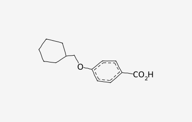 O=C(O)c1ccc(OCC2CCCCC2)cc1